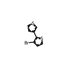 Brc1ccsc1-c1ccsc1